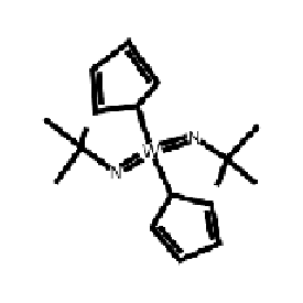 CC(C)(C)[N]=[W](=[N]C(C)(C)C)([CH]1C=CC=C1)[CH]1C=CC=C1